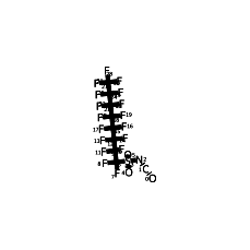 O=C=NS(=O)(=O)C(F)(F)C(F)(F)C(F)(F)C(F)(F)C(F)(F)C(F)(F)C(F)(F)C(F)(F)F